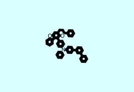 c1ccc(-c2cccc(-c3ccc(N(c4ccccc4)c4ccc(-c5c6c(cc7oc8ccccc8c57)CCC(c5ccccc5)O6)cc4)cc3)c2)cc1